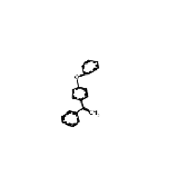 C=C(c1ccccc1)c1ccc(Oc2ccccc2)cc1